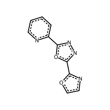 c1ccc(-c2nnc(-c3ncco3)o2)nc1